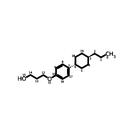 CCC[C@H]1CC[C@H](c2ccc(OCCCO)cc2)CC1